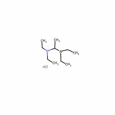 CCN(CC)[CH](C)[Al]([CH2]C)[CH2]C.Cl